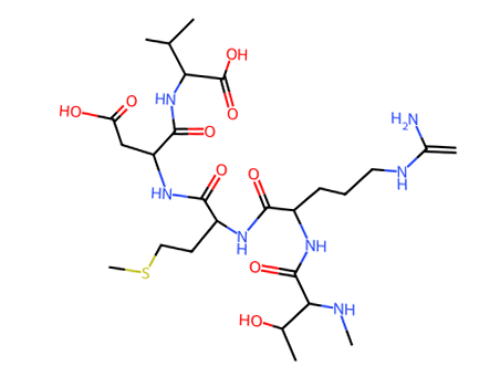 C=C(N)NCCCC(NC(=O)C(NC)C(C)O)C(=O)NC(CCSC)C(=O)NC(CC(=O)O)C(=O)NC(C(=O)O)C(C)C